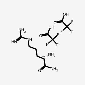 N=C(N)NCCC[C@H](N)C(N)=O.O=C(O)C(F)(F)F.O=C(O)C(F)(F)F